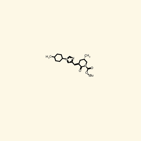 CC1CCC(n2cnc(/C=C3\C[C@H](C)CN(C(=O)OC(C)(C)C)C3=O)c2)CC1